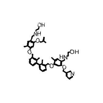 C=C(C)COc1cc(OCc2cccc(-c3cccc(COc4cc(OCc5cccnc5)c(CNCCO)cc4C)c3C)c2C)c(C)cc1CNCCO